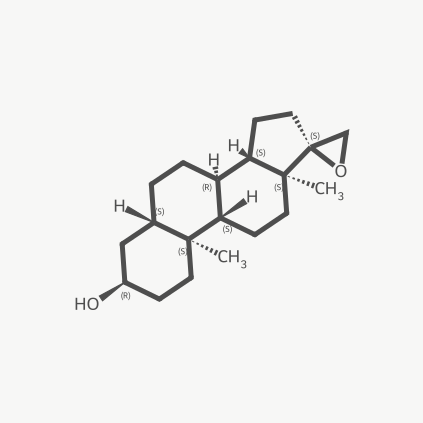 C[C@]12CC[C@@H](O)C[C@@H]1CC[C@@H]1[C@@H]2CC[C@@]2(C)[C@H]1CC[C@@]21CO1